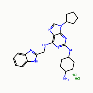 Cl.Cl.NC1CCC(Nc2nc(NCc3nc4ccccc4[nH]3)c3ncn(C4CCCC4)c3n2)CC1